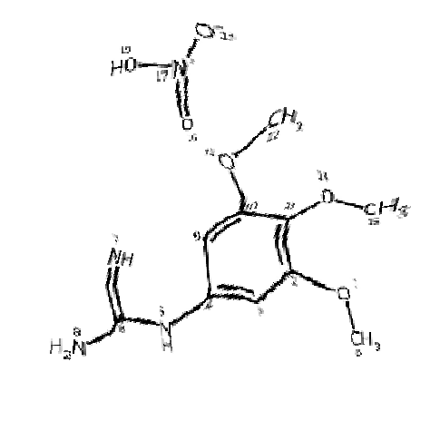 COc1cc(NC(=N)N)cc(OC)c1OC.O=[N+]([O-])O